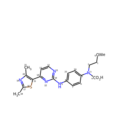 COCCN(C(=O)O)c1ccc(Nc2nccc(-c3sc(C)nc3C)n2)cc1